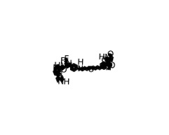 Cn1c(=O)n(C2CCC(=O)NC2=O)c2ccc(CCCCOCCCCNC[C@H]3CC[C@H](n4cc(NC(=O)c5cnn6ccc(N7CCNCC7)nc56)c(C(F)F)n4)CC3)cc21